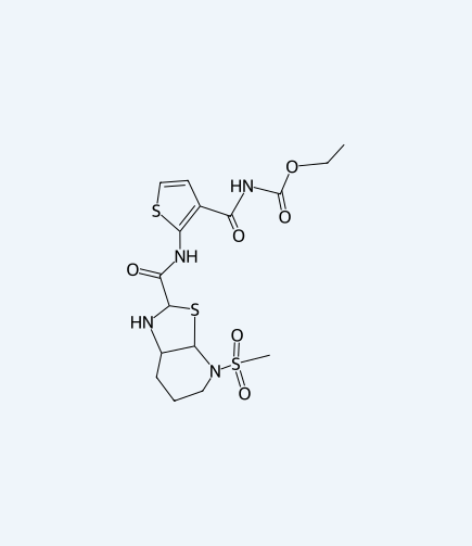 CCOC(=O)NC(=O)c1ccsc1NC(=O)C1NC2CCCN(S(C)(=O)=O)C2S1